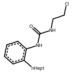 CCCCCCCc1ccccc1NC(=O)NCCCl